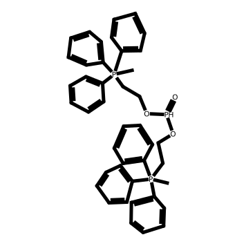 CP(CCO[PH](=O)OCCP(C)(c1ccccc1)(c1ccccc1)c1ccccc1)(c1ccccc1)(c1ccccc1)c1ccccc1